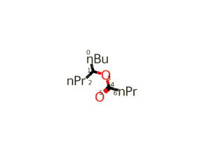 CCCCC(CCC)OC(=O)CCC